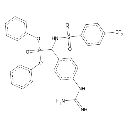 N=C(N)Nc1ccc(C(NS(=O)(=O)c2ccc(C(F)(F)F)cc2)P(=O)(Oc2ccccc2)Oc2ccccc2)cc1